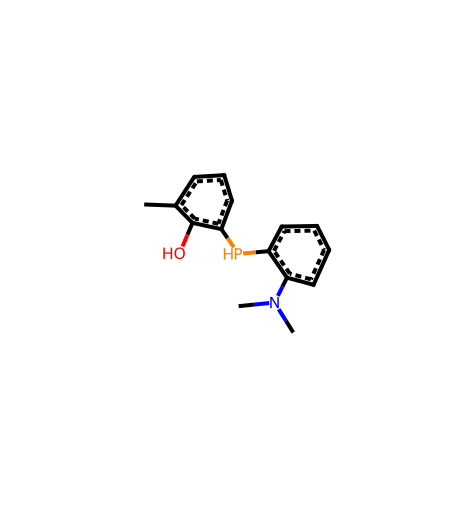 Cc1cccc(Pc2ccccc2N(C)C)c1O